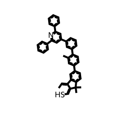 C/C=C1\C(=C/S)C(C)(C)c2ccc(-c3ccc(-c4cccc(-c5cc(-c6ccccc6)nc(-c6ccccc6)c5)c4)c(C)c3)cc21